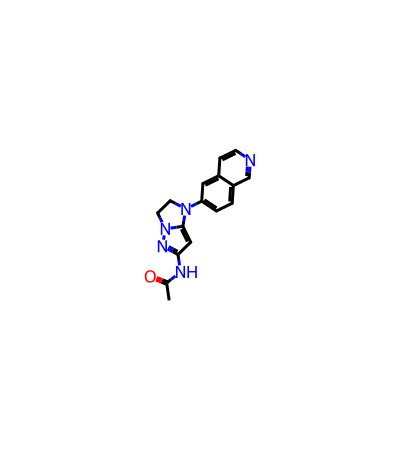 CC(=O)Nc1cc2n(n1)CCN2c1ccc2cnccc2c1